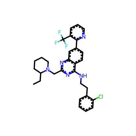 CCC1CCCCN1Cc1nc(NCCc2ccccc2Cl)c2ccc(-c3ncccc3C(F)(F)F)cc2n1